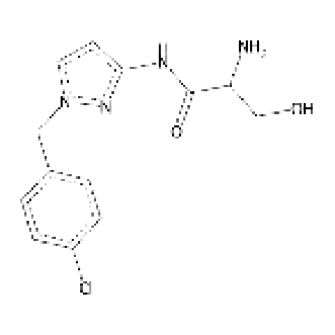 NC(CO)C(=O)Nc1ccn(Cc2ccc(Cl)cc2)n1